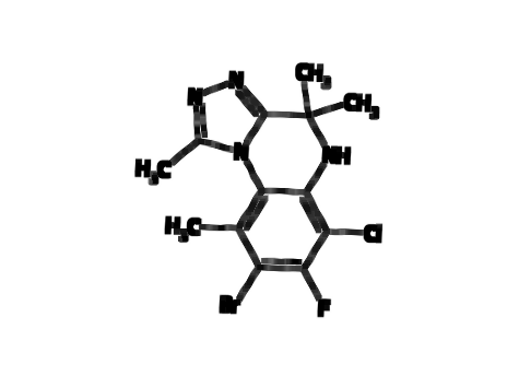 Cc1c(Br)c(F)c(Cl)c2c1-n1c(C)nnc1C(C)(C)N2